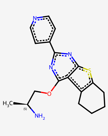 C[C@H](N)COc1nc(-c2ccncc2)nc2sc3c(c12)CCCC3